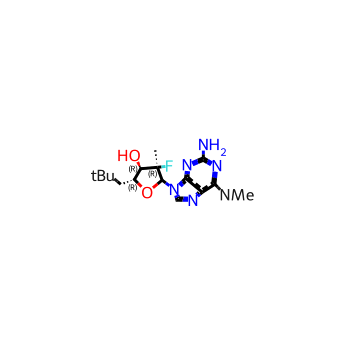 CNc1nc(N)nc2c1ncn2C1O[C@H](CC(C)(C)C)[C@@H](O)[C@@]1(C)F